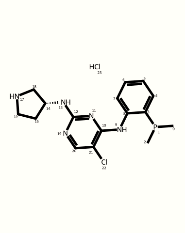 CP(C)c1ccccc1Nc1nc(N[C@@H]2CCNC2)ncc1Cl.Cl